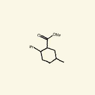 COC(=O)C1CC(C)CCC1C(C)C